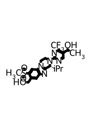 CC(O)c1cnc(N2CCn3c(nc4cc(CO)c(S(C)(=O)=O)cc43)[C@H]2C(C)C)nc1C(F)(F)F